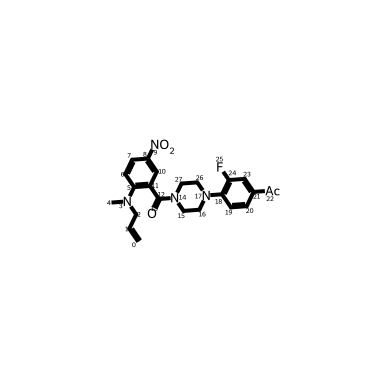 C=CCN(C)c1ccc([N+](=O)[O-])cc1C(=O)N1CCN(c2ccc(C(C)=O)cc2F)CC1